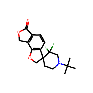 CC(C)(C)N1CCC2(COc3c2ccc2c3COC2=O)C(F)(F)C1